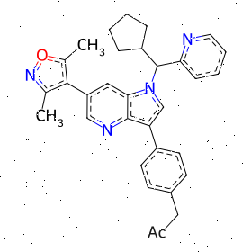 CC(=O)Cc1ccc(-c2cn(C(c3ccccn3)C3CCCC3)c3cc(-c4c(C)noc4C)cnc23)cc1